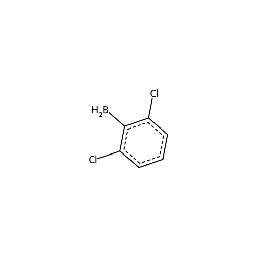 Bc1c(Cl)cccc1Cl